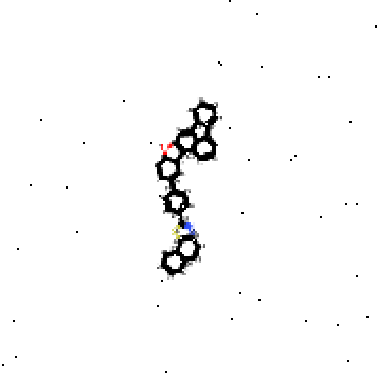 C1=CC2Oc3cc4c5c(cccc5c3C2C=C1c1ccc(-c2nc3ccc5ccccc5c3s2)cc1)-c1ccccc1-4